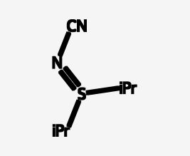 CC(C)S(=NC#N)C(C)C